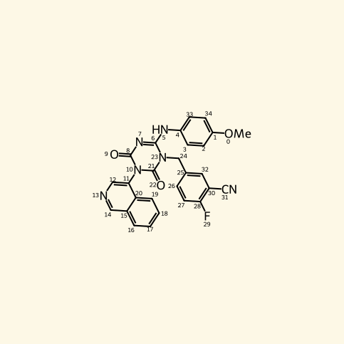 COc1ccc(Nc2nc(=O)n(-c3cncc4ccccc34)c(=O)n2Cc2ccc(F)c(C#N)c2)cc1